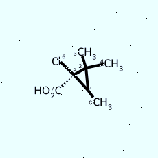 CC1C(C)(C)[C@@]1(Cl)C(=O)O